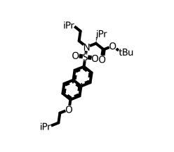 CC(C)CCOc1ccc2cc(S(=O)(=O)N(CCC(C)C)[C@@H](C(=O)OC(C)(C)C)C(C)C)ccc2c1